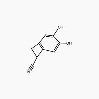 N#CC1Cc2cc(O)c(O)cc21